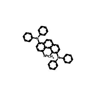 CCCc1ccc(N(c2ccccc2)c2ccccc2)c2ccc3ccc(N(c4ccccc4)c4ccccc4)c(C)c3c12